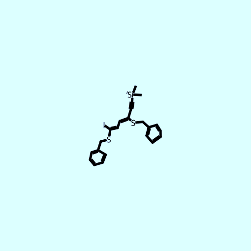 C[Si](C)(C)C#CC(=CC=C(I)SCc1ccccc1)SCc1ccccc1